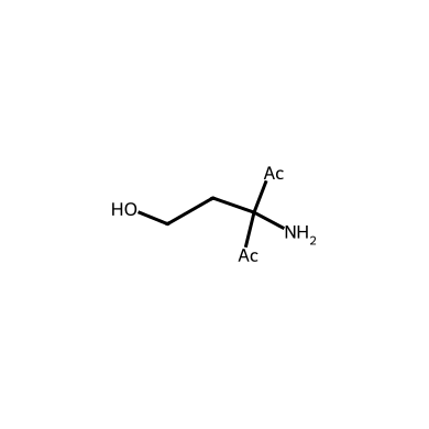 CC(=O)C(N)(CCO)C(C)=O